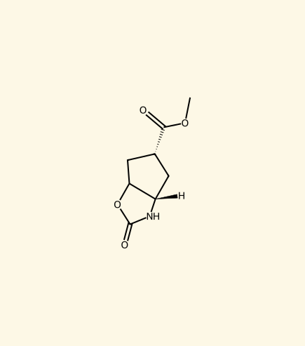 COC(=O)[C@H]1CC2OC(=O)N[C@H]2C1